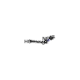 N#C/C(=C\c1ccc(OCCCCCCCCCCCO)cc1)c1ccc(F)cc1